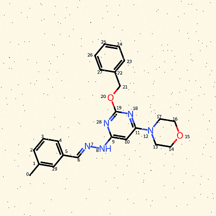 Cc1cccc(/C=N/Nc2cc(N3CCOCC3)nc(OCc3ccccc3)n2)c1